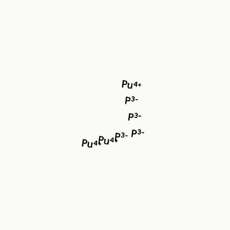 [P-3].[P-3].[P-3].[P-3].[Pu+4].[Pu+4].[Pu+4]